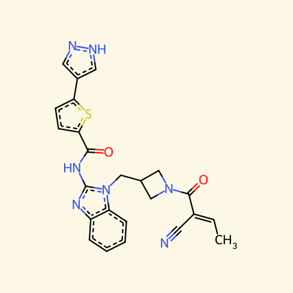 C/C=C(\C#N)C(=O)N1CC(Cn2c(NC(=O)c3ccc(-c4cn[nH]c4)s3)nc3ccccc32)C1